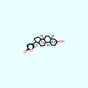 C[C@]12CC[C@H](O)C[C@H]1CC[C@@H]1[C@@H]2CC[C@]2(C)C(c3ccc(=O)oc3)CC[C@]12O